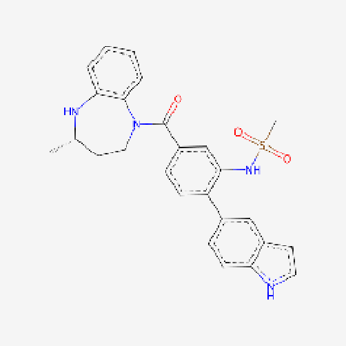 C[C@H]1CCN(C(=O)c2ccc(-c3ccc4[nH]ccc4c3)c(NS(C)(=O)=O)c2)c2ccccc2N1